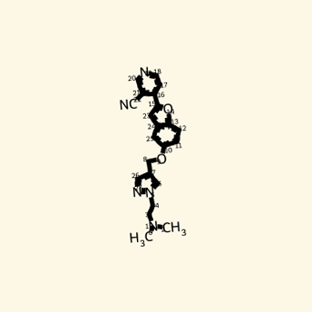 CN(C)CCn1cc(COc2ccc3oc(-c4ccncc4C#N)cc3c2)cn1